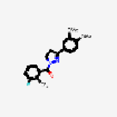 COc1ccc(C2=NN(C(=O)c3cccc(F)c3C(F)(F)F)CC2)cc1OC